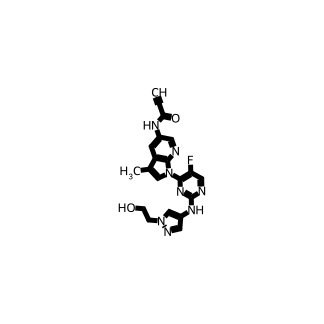 C#CC(=O)Nc1cnc2c(c1)c(C)cn2-c1nc(Nc2cnn(CCO)c2)ncc1F